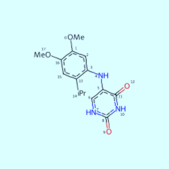 COc1cc(Nc2c[nH]c(=O)[nH]c2=O)c(C(C)C)cc1OC